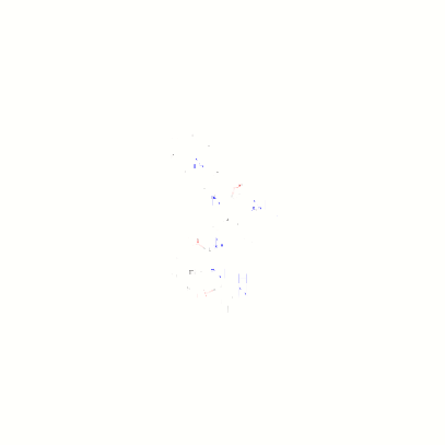 CN[C@@H](C)C(=O)N[C@H](C(=O)N1CCC[C@H]1CN(CCN1CCCCC1)C(=O)CN)C(C)(C)C